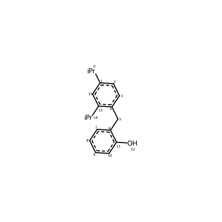 CC(C)c1ccc(Cc2ccccc2O)c(C(C)C)c1